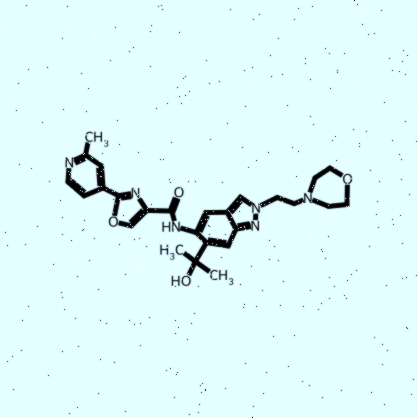 Cc1cc(-c2nc(C(=O)Nc3cc4cn(CCN5CCOCC5)nc4cc3C(C)(C)O)co2)ccn1